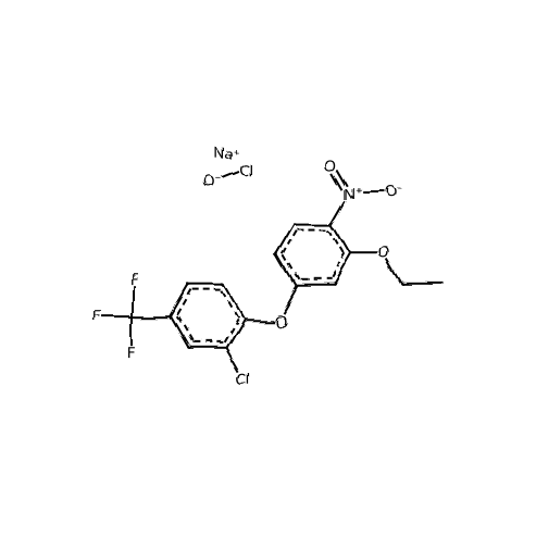 CCOc1cc(Oc2ccc(C(F)(F)F)cc2Cl)ccc1[N+](=O)[O-].[Na+].[O-]Cl